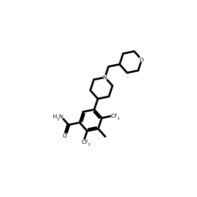 Cc1c(C(F)(F)F)c(C(N)=O)cc(C2CCN(CC3CCOCC3)CC2)c1C(F)(F)F